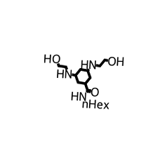 CCCCCCNC(=O)C1CC(NCCO)CC(NCCO)C1